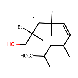 CCC(C)(CO)CC(C)(C)/C=C\C(C)CC(C)C(=O)O